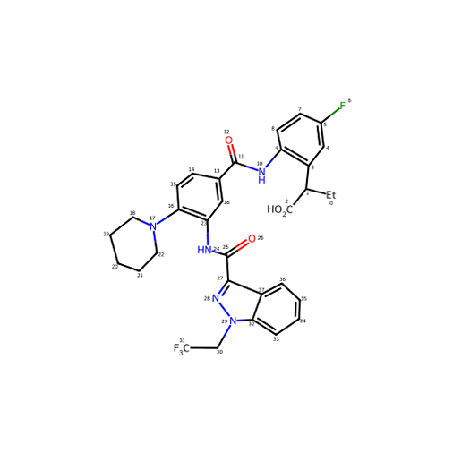 CCC(C(=O)O)c1cc(F)ccc1NC(=O)c1ccc(N2CCCCC2)c(NC(=O)c2nn(CC(F)(F)F)c3ccccc23)c1